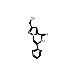 O=c1[nH]c(-c2ccccc2)cn2nc(CO)cc12